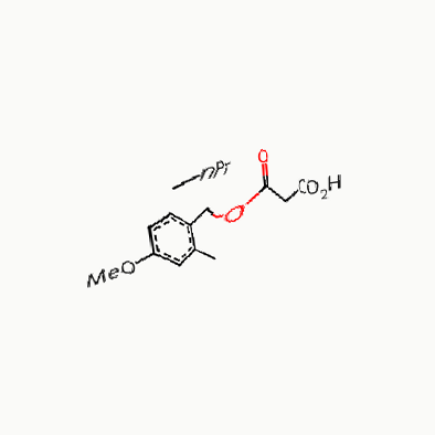 CCCC.COc1ccc(COC(=O)CC(=O)O)c(C)c1